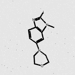 Cn1c(I)nc2ccc(N3CCOCC3)cc21